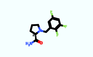 NC(=O)[C@H]1CCCN1Cc1cc(F)cc(F)c1F